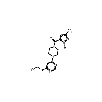 CCn1nc(C(F)(F)F)cc1C(=O)N1CCN(c2cc(OCC(F)(F)F)ncn2)CC1